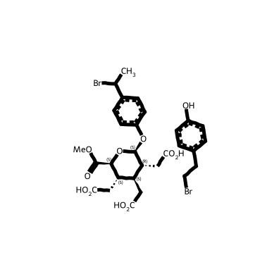 COC(=O)[C@H]1O[C@@H](Oc2ccc(C(C)Br)cc2)[C@H](CC(=O)O)[C@@H](CC(=O)O)[C@@H]1CC(=O)O.Oc1ccc(CCBr)cc1